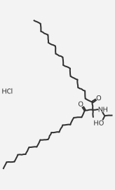 CCCCCCCCCCCCCCCC(=O)C(C)(NC(C)O)C(=O)CCCCCCCCCCCCCCC.Cl